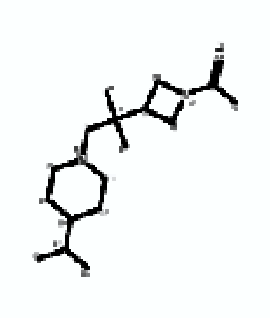 CC(=O)N1CC(C(C)(C)CN2CCC(C(C)C)CC2)C1